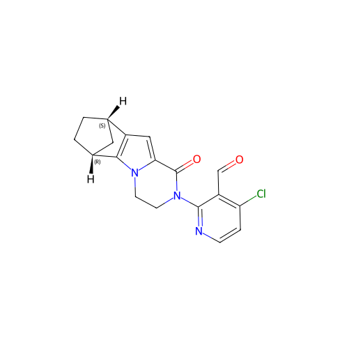 O=Cc1c(Cl)ccnc1N1CCn2c(cc3c2[C@@H]2CC[C@H]3C2)C1=O